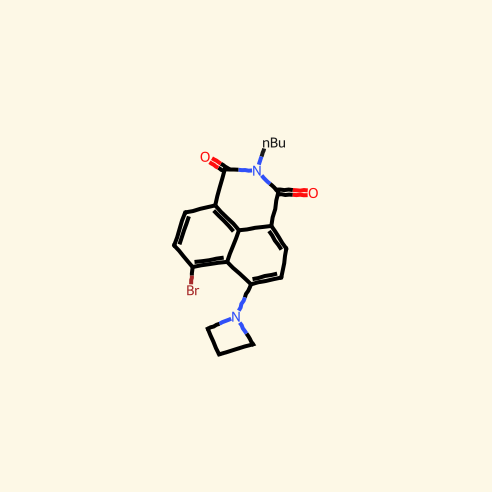 CCCCN1C(=O)c2ccc(Br)c3c(N4CCC4)ccc(c23)C1=O